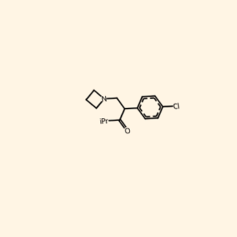 CC(C)C(=O)C(CN1CCC1)c1ccc(Cl)cc1